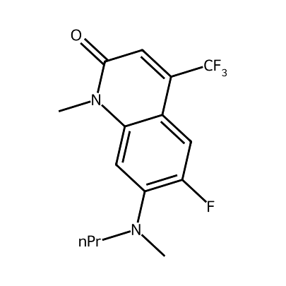 CCCN(C)c1cc2c(cc1F)c(C(F)(F)F)cc(=O)n2C